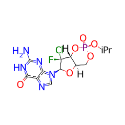 CC(C)O[P@@]1(=O)OC[C@H]2O[C@@H](n3cnc4c(=O)[nH]c(N)nc43)[C@](F)(Cl)[C@@H]2O1